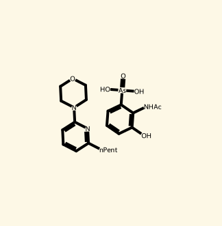 CC(=O)Nc1c(O)cccc1[As](=O)(O)O.CCCCCc1cccc(N2CCOCC2)n1